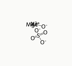 CC(=O)[O-].O=S(=O)([O-])[O-].[Mg+2].[Na+]